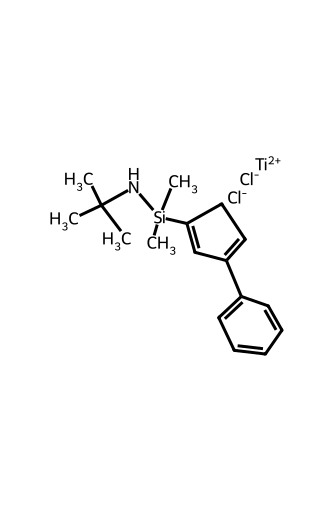 CC(C)(C)N[Si](C)(C)C1=CC(c2ccccc2)=CC1.[Cl-].[Cl-].[Ti+2]